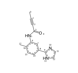 CC#CC(=O)Nc1cc(-c2ncc[nH]2)ccc1C